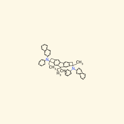 CCC1(N(c2ccccc2)c2ccc3ccccc3c2)Cc2cc3c(cc21)C(C)(C)c1cc2c(cc1-3)CC2(CC)N(c1ccccc1)c1ccc2ccccc2c1